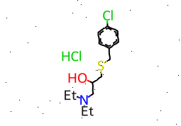 CCN(CC)CC(O)CSCc1ccc(Cl)cc1.Cl